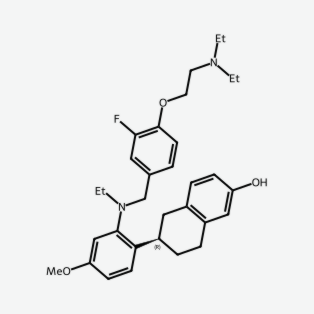 CCN(CC)CCOc1ccc(CN(CC)c2cc(OC)ccc2[C@@H]2CCc3cc(O)ccc3C2)cc1F